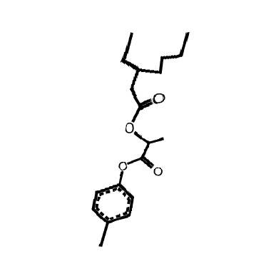 CCCCC(CC)CC(=O)OC(C)C(=O)Oc1ccc(C)cc1